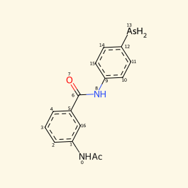 CC(=O)Nc1cccc(C(=O)Nc2ccc([AsH2])cc2)c1